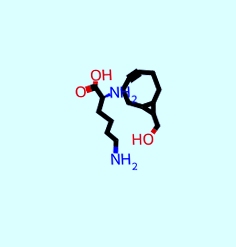 NCCCC[C@H](N)C(=O)O.OCC1C2CCC#CCCC12